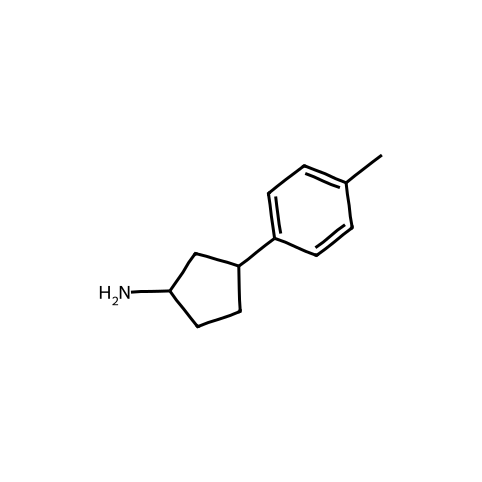 Cc1ccc(C2CCC(N)C2)cc1